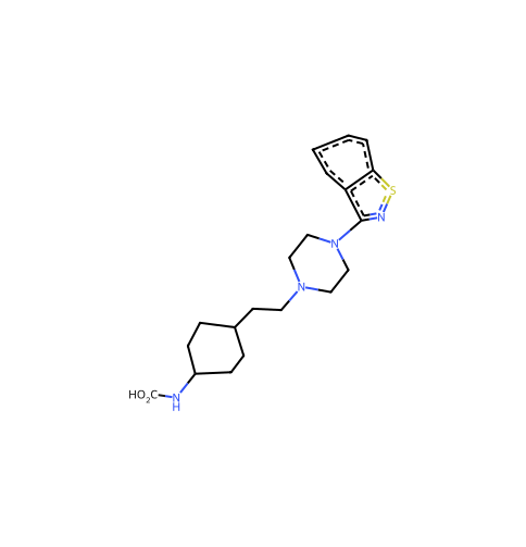 O=C(O)NC1CCC(CCN2CCN(c3nsc4ccccc34)CC2)CC1